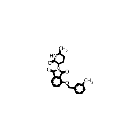 C=C1CCC(N2C(=O)c3cccc(OCc4cccc(C)c4)c3C2=O)C(=O)N1